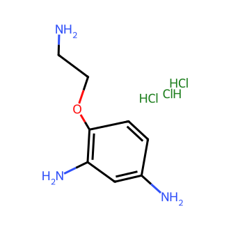 Cl.Cl.Cl.NCCOc1ccc(N)cc1N